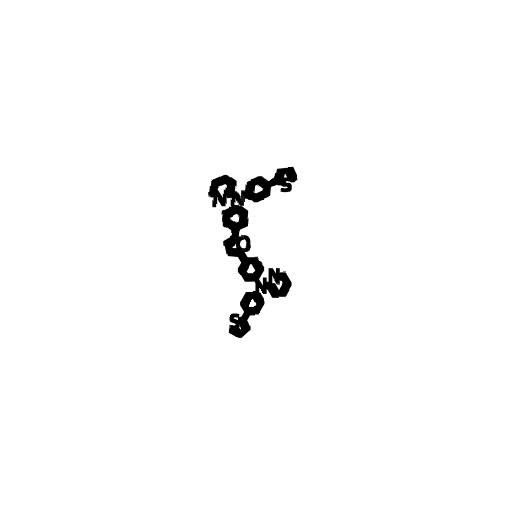 c1ccc(N(c2ccc(-c3ccc(-c4ccc(N(c5ccc(-c6cccs6)cc5)c5ccccn5)cc4)o3)cc2)c2ccc(-c3cccs3)cc2)nc1